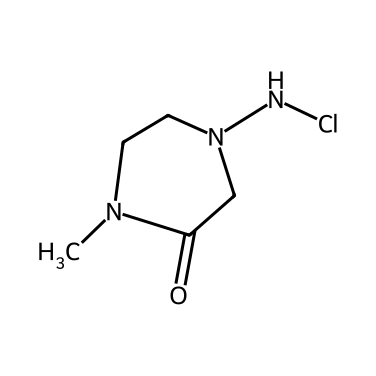 CN1CCN(NCl)CC1=O